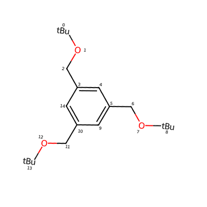 CC(C)(C)OCc1cc(COC(C)(C)C)cc(COC(C)(C)C)c1